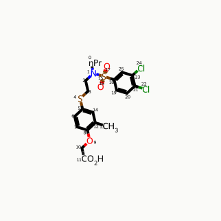 CCCN(CCSc1ccc(OCC(=O)O)c(C)c1)S(=O)(=O)c1ccc(Cl)c(Cl)c1